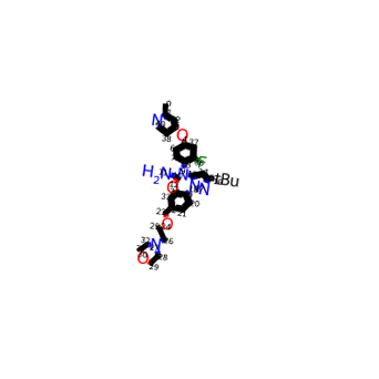 Cc1cc(Oc2ccc(N(C(N)=O)c3cc(C(C)(C)C)nn3-c3ccc(COCCN4CCOCC4)cc3)c(F)c2)ccn1